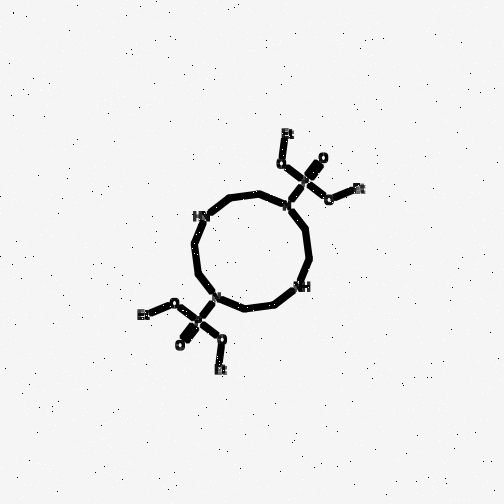 CCOP(=O)(OCC)N1CCNCCN(P(=O)(OCC)OCC)CCNCC1